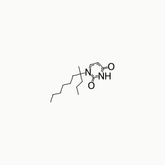 CCCCCCC(C)(CCC)n1ccc(=O)[nH]c1=O